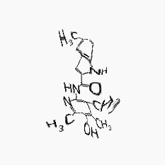 Cc1ccc2[nH]c(C(=O)Nc3nc(C)c(O)c(C)c3C)cc2c1